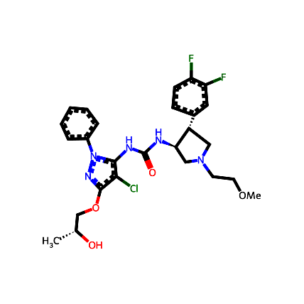 COCCN1C[C@@H](NC(=O)Nc2c(Cl)c(OC[C@@H](C)O)nn2-c2ccccc2)[C@H](c2ccc(F)c(F)c2)C1